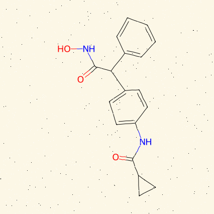 O=C(Nc1ccc(C(C(=O)NO)c2ccccc2)cc1)C1CC1